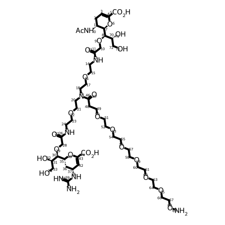 CC(=O)N[C@@H]1CC=C(C(=O)O)O[C@H]1[C@H](OCC(=O)NCCOCCN(CCOCCNC(=O)CO[C@H]([C@H](O)CO)[C@H]1C[C@@H](NC(=N)N)C=C(C(=O)O)O1)C(=O)CCOCCOCCOCCOCCOCCOCCON)[C@H](O)CO